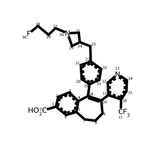 O=C(O)c1ccc2c(c1)CCCC(c1cnccc1C(F)(F)F)=C2c1ccc(CC2CN(CCCF)C2)cc1